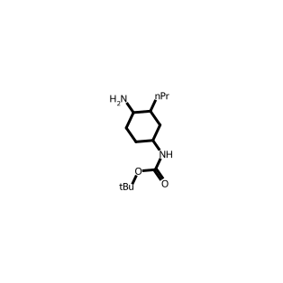 CCCC1CC(NC(=O)OC(C)(C)C)CCC1N